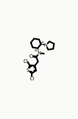 CN(C(=O)Cc1cc(Cl)sc1Cl)[C@@H]1CCCC[C@H]1N1CCCC1